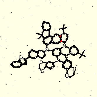 CC(C)(C)c1ccc(N2c3ccc(C(C)(C)C)cc3B3c4cc5c(cc4N(c4ccc6c(c4)OCCO6)c4cc(N(c6ccc7cc(-c8cc9ccccc9o8)ccc7c6)c6cc7c(c8ccccc68)-c6ccccc6C7(C)C)cc2c43)OCCO5)cc1